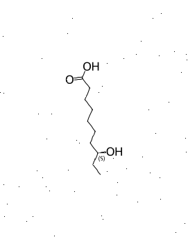 CC[C@H](O)CCCCCCC(=O)O